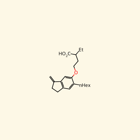 C=C1CCc2cc(CCCCCC)c(OCCC(CC)C(=O)O)cc21